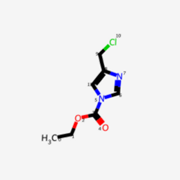 CCOC(=O)n1cnc(CCl)c1